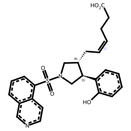 O=C(O)CC/C=C\C[C@H]1CN(S(=O)(=O)c2cccc3cnccc23)C[C@@H]1c1ccccc1O